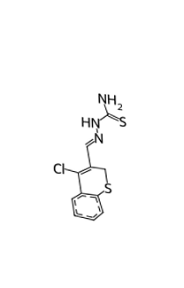 NC(=S)NN=CC1=C(Cl)c2ccccc2SC1